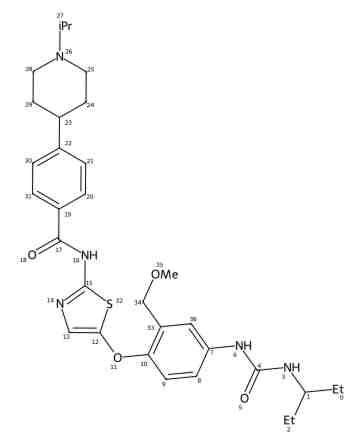 CCC(CC)NC(=O)Nc1ccc(Oc2cnc(NC(=O)c3ccc(C4CCN(C(C)C)CC4)cc3)s2)c(COC)c1